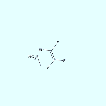 CCC(F)=C(F)F.CS(=O)(=O)O